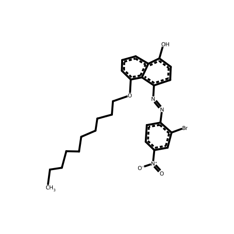 CCCCCCCCCCOc1cccc2c(O)ccc(N=Nc3ccc([N+](=O)[O-])cc3Br)c12